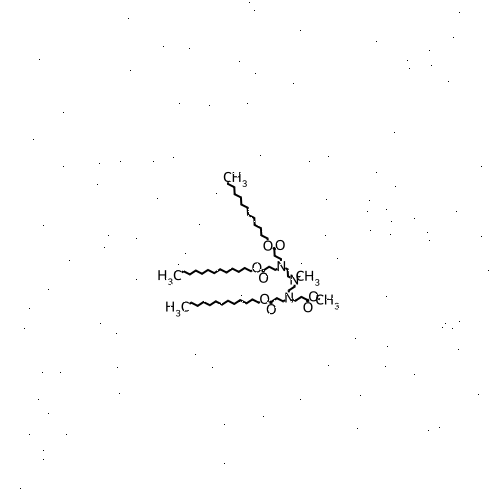 CCCCCCCCCCCCCOC(=O)CCN(CCC(=O)OC)CCN(C)CCN(CCC(=O)OCCCCCCCCCCCCC)CCC(=O)OCCCCCCCCCCCCC